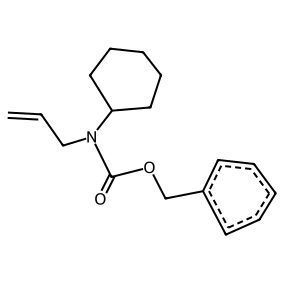 C=CCN(C(=O)OCc1ccccc1)C1CCCCC1